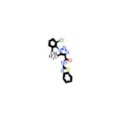 Cc1cccc(Cl)c1-n1nnc(C(=O)Nc2nc3ccccc3s2)c1C